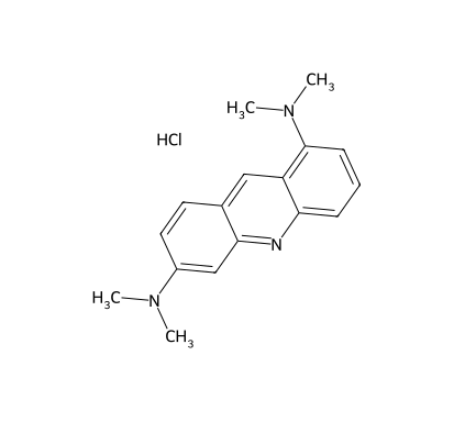 CN(C)c1ccc2cc3c(N(C)C)cccc3nc2c1.Cl